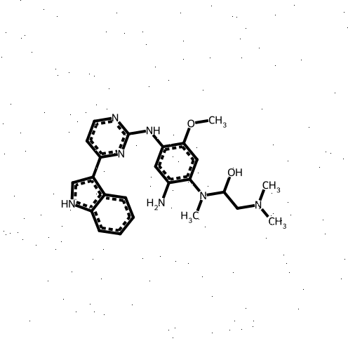 COc1cc(N(C)C(O)CN(C)C)c(N)cc1Nc1nccc(-c2c[nH]c3ccccc23)n1